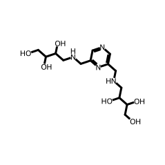 OCC(O)C(O)CNCc1cncc(CNCC(O)C(O)CO)n1